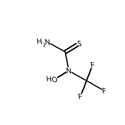 NC(=S)N(O)C(F)(F)F